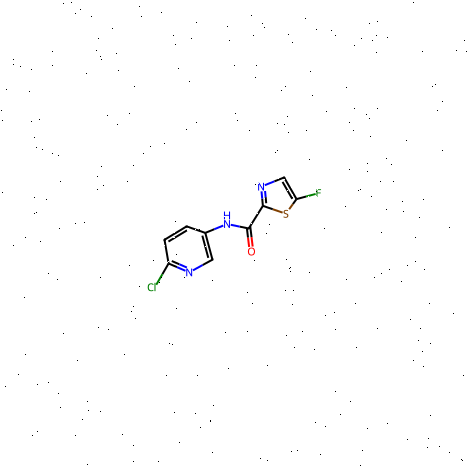 O=C(Nc1ccc(Cl)nc1)c1ncc(F)s1